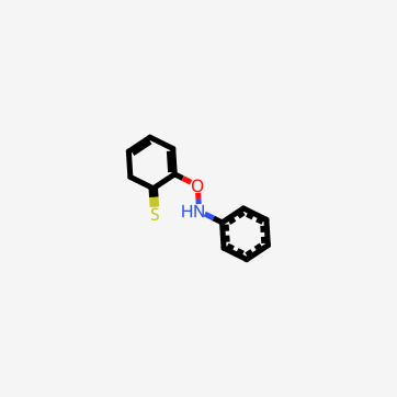 S=C1CC=CC=C1ONc1ccccc1